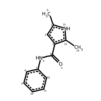 Cc1cc(C(=O)Nc2ccccc2)c(C)[nH]1